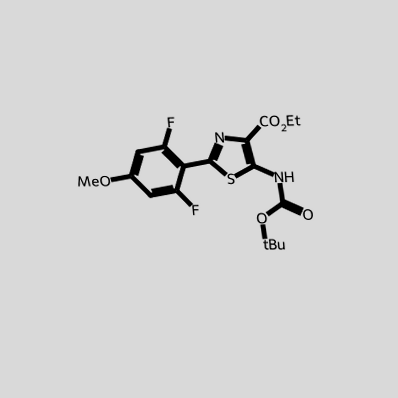 CCOC(=O)c1nc(-c2c(F)cc(OC)cc2F)sc1NC(=O)OC(C)(C)C